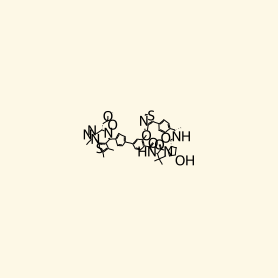 COC(=O)C[C@@H]1N=C(c2ccc(-c3ccc(C(=O)N[C@H](C(=O)N4C[C@H](O)C[C@H]4C(=O)N[C@@H](C)c4ccc(-c5scnc5C)cc4)C(C)(C)C)c(OC)c3)cc2)c2c(sc(C)c2C)-n2c(C)nnc21